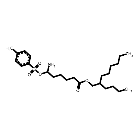 CCCCCCC(CCCC)COC(=O)CCCCC(N)OS(=O)(=O)c1ccc(C)cc1